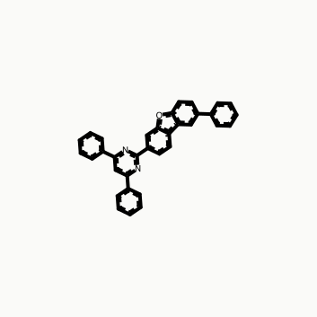 c1ccc(-c2ccc3oc4cc(-c5nc(-c6ccccc6)cc(-c6ccccc6)n5)ccc4c3c2)cc1